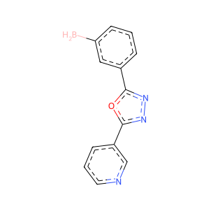 Bc1cccc(-c2nnc(-c3cccnc3)o2)c1